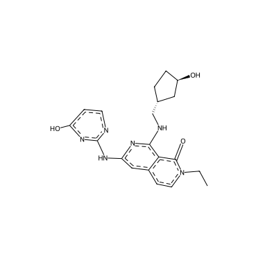 CCn1ccc2cc(Nc3nccc(O)n3)nc(NC[C@@H]3CC[C@@H](O)C3)c2c1=O